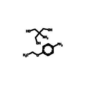 CCOc1ccc(P)cc1.NC(CO)(CO)CO